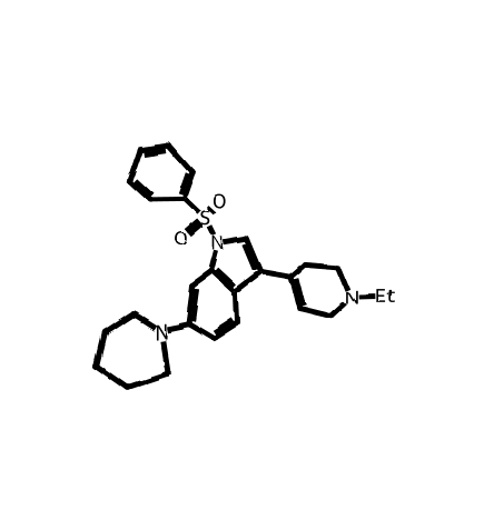 CCN1CC=C(c2cn(S(=O)(=O)c3ccccc3)c3cc(N4CCCCC4)ccc23)CC1